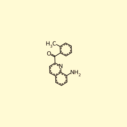 Cc1ccccc1C(=O)c1ccc2cccc(N)c2n1